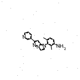 Cc1ccc(N)c(C)c1-n1ccn2nc(-c3cccnc3)cc12